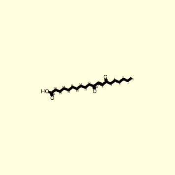 CCCCCCC(=O)C=CC(=O)CCCCCCCCCC(=O)O